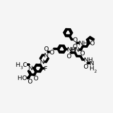 CCn1cc(C(=O)O)c(=O)c2cc(F)c(N3CCN(C(=O)OCc4ccc(NC(=O)C(CCCNC(N)=O)NC(=O)C(Cc5ccco5)NC(=O)OCc5ccccc5)cc4)CC3)cc21